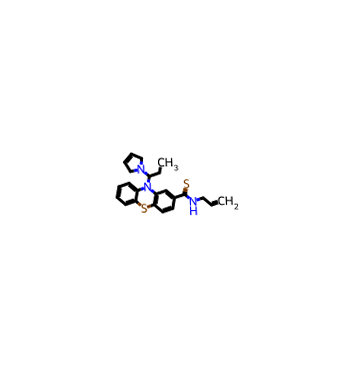 C=CCNC(=S)c1ccc2c(c1)N(C(CC)N1CC=CC1)c1ccccc1S2